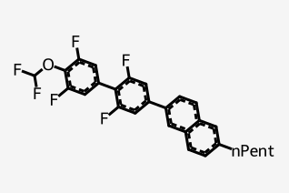 CCCCCc1ccc2cc(-c3cc(F)c(-c4cc(F)c(OC(F)F)c(F)c4)c(F)c3)ccc2c1